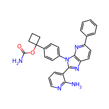 NC(=O)OC1(c2ccc(-n3c(-c4cccnc4N)nc4ccc(-c5ccccc5)nc43)cc2)CCC1